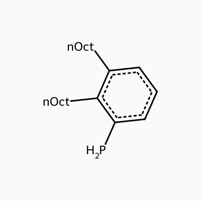 CCCCCCCCc1cccc(P)c1CCCCCCCC